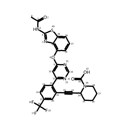 CC(=O)Nc1nc2c(Oc3cc(-c4ccc(C(F)(F)F)cc4C#CC4CCCCN4C(=O)O)ncn3)cccc2s1